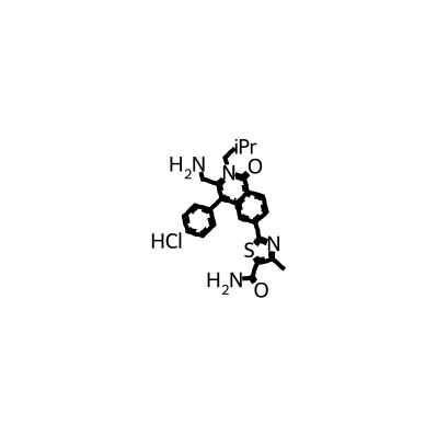 Cc1nc(-c2ccc3c(=O)n(CC(C)C)c(CN)c(-c4ccccc4)c3c2)sc1C(N)=O.Cl